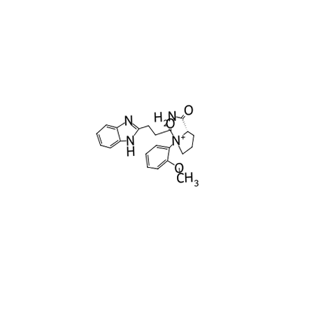 COc1ccccc1[N+]1(C(=O)CCc2nc3ccccc3[nH]2)CCC[C@H]1C(N)=O